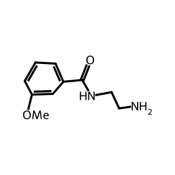 COc1cccc(C(=O)NCCN)c1